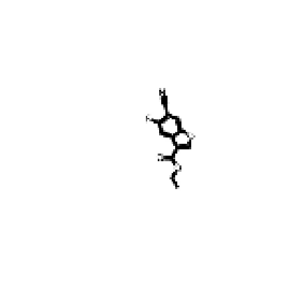 CCOC(=O)c1coc2cc(C#N)c(F)cc12